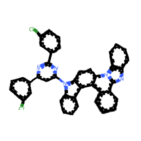 Clc1cccc(-c2cc(-n3c4ccccc4c4c5c6ccccc6c6nc7ccccc7n6c5ccc43)nc(-c3cccc(Cl)c3)n2)c1